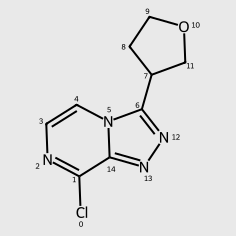 Clc1nccn2c(C3CCOC3)nnc12